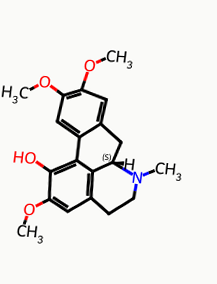 COc1cc2c(cc1OC)-c1c(O)c(OC)cc3c1[C@H](C2)N(C)CC3